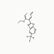 C=C/C=C(\C(=C/C)SCC)c1nc2cc(C(F)(F)F)cnc2o1